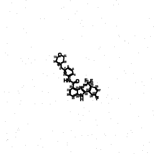 O=C(Nc1cccc(CN2CCOCC2)n1)c1cccc2[nH]c(-c3cc(F)ccc3C(F)(F)F)nc12